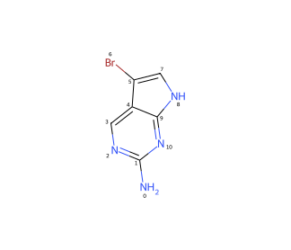 Nc1ncc2c(Br)c[nH]c2n1